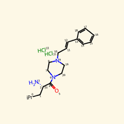 CC(C)C[C@H](N)C(=O)N1CCN(CC=Cc2ccccc2)CC1.Cl.Cl